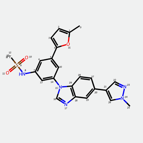 Cc1ccc(-c2cc(NS(=O)(=O)C(C)C)cc(-n3cnc4cc(-c5cnn(C)c5)ccc43)c2)o1